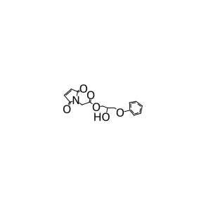 O=C(CN1C(=O)C=CC1=O)OCC(O)COc1ccccc1